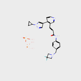 O=C(/C=C/c1cnccc1-c1cnn(C2CC2)c1)Nc1ccc(CN2CC(F)(F)C2)cc1.O=P(O)(O)OP(=O)(O)O